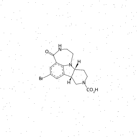 O=C1NCCN2c3c1cc(Br)cc3[C@H]1CN(C(=O)O)CC[C@H]12